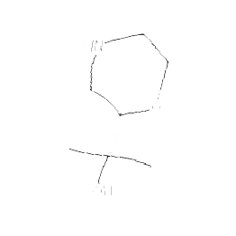 CC(C)(O)[C@@H]1CNCCO1